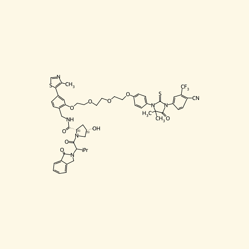 Cc1ncsc1-c1ccc(CNC(=O)[C@@H]2C[C@H](O)CN2C(=O)C(C(C)C)N2Cc3ccccc3C2=O)c(OCCOCCOCCOc2ccc(N3C(=S)N(c4ccc(C#N)c(C(F)(F)F)c4)C(=O)C3(C)C)cc2)c1